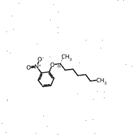 CCCCCC[C@@H](C)Oc1ccccc1[N+](=O)[O-]